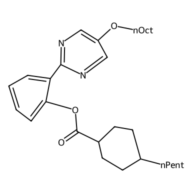 CCCCCCCCOc1cnc(-c2ccccc2OC(=O)C2CCC(CCCCC)CC2)nc1